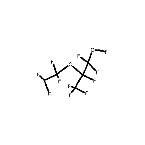 FOC(F)(F)C(F)(OC(F)(F)C(F)F)C(F)(F)F